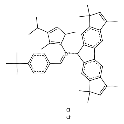 CC1=CC(C)(C)c2cc3c(cc21)-c1cc2c(cc1[CH]3/[Zr+2](=[CH]/c1ccc(C(C)(C)C)cc1)[C]1=C(C)C(C(C)C)=CC1C)C(C)(C)C=C2C.[Cl-].[Cl-]